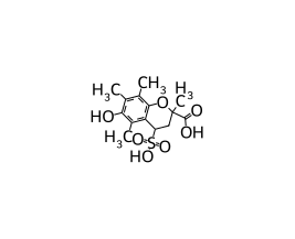 Cc1c(C)c2c(c(C)c1O)C(S(=O)(=O)O)CC(C)(C(=O)O)O2